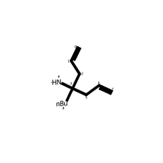 C=CCC([NH])(CC=C)CCCC